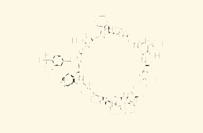 CC[C@H](C)[C@@H]1NC(=O)[C@H](C)N(C)C(=O)C[C@@H](C(=O)N2CCOCC2)N(C)C(=O)[C@H](C2CCCCC2)N(C)C(=O)C2(CCCC2)NC(=O)[C@H](Cc2cccnc2)N(C)C(=O)[C@H](CCc2ccc(C(F)(F)F)c(Cl)c2)NC(=O)CN(C)C(=O)[C@H](CC2CCCCC2)N(C)C(=O)[C@@H]2CCN2C(=O)CN(C)C1=O